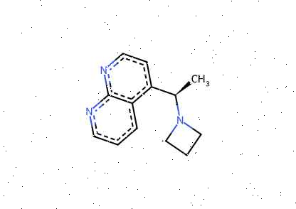 C[C@H](c1ccnc2ncccc12)N1[CH]CC1